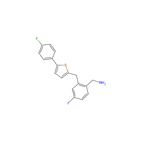 NCc1ccc(I)cc1Cc1ccc(-c2ccc(F)cc2)s1